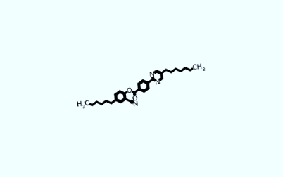 CCCCCCCc1cnc(-c2ccc(C(=O)Oc3ccc(CCCCCC)cc3C#N)cc2)nc1